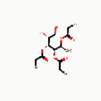 CC(=O)CC(=O)O[C@@H]([C@H](OC(=O)CC(C)=O)[C@H](C=O)OC(=O)CC(C)=O)[C@H](O)CO